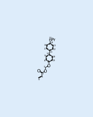 C=CC(=O)OCOc1ccc(-c2ccc(CCC)cc2)cc1